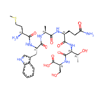 CSCC[C@H](N)C(=O)N[C@@H](Cc1c[nH]c2ccccc12)C(=O)N[C@@H](C)C(=O)N[C@@H](CCC(N)=O)C(=O)N[C@H](C(=O)N[C@@H](CO)C(=O)O)[C@@H](C)O